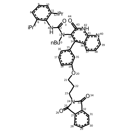 CCCCN(C(=O)Nc1c(C(C)C)cccc1C(C)C)c1c(-c2cccc(OCCCN3C(=O)c4ccccc4C3=O)c2)c2cccnc2[nH]c1=O